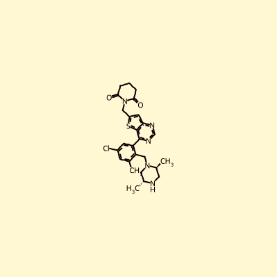 Cc1cc(Cl)cc(-c2ncnc3cc(CN4C(=O)CCCC4=O)sc23)c1CN1C[C@@H](C)NC[C@@H]1C